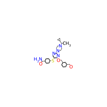 C[C@H](C1CC1)N1CCN(c2ncc(Sc3ccc(C(N)=O)cc3)c(OCc3cccc(C=O)c3)n2)CC1